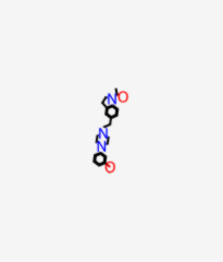 COc1cccc(N2CCN(CCc3ccc4c(c3)CCN4C(C)=O)CC2)c1